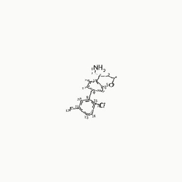 NC[C@@H]1CCOc2cc(-c3cc(F)ccc3Cl)ccc21